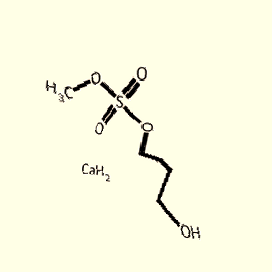 COS(=O)(=O)OCCCO.[CaH2]